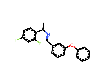 CC(N=Cc1cccc(Oc2ccccc2)c1)c1ccc(F)cc1F